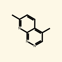 Cc1ccc2c(C)cnnc2n1